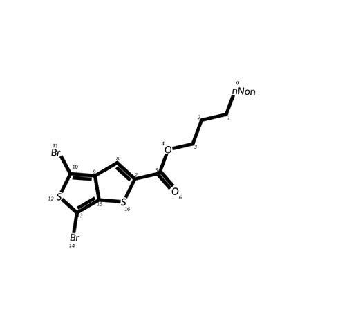 CCCCCCCCCCCCOC(=O)c1cc2c(Br)sc(Br)c2s1